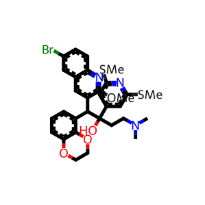 COc1nc2ccc(Br)cc2cc1C(c1cccc2c1OCCO2)C(O)(CCN(C)C)c1cc(SC)nc(SC)c1